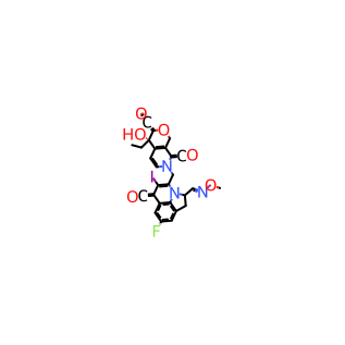 CC[C@@]1(O)C(=C=O)OCC2=C1C=CN(CC1=C(I)C(=C=O)c3cc(F)cc4c3N1C(C=NOC)C4)C2=C=O